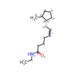 CCNC(=O)CCC/C=C\C[C@H]1CCCC1C